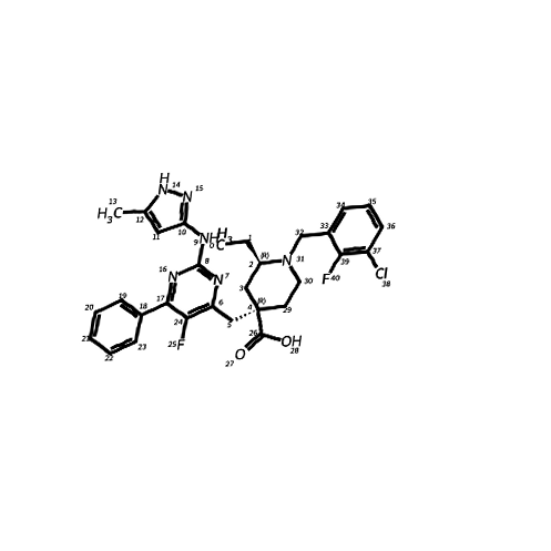 CC[C@@H]1C[C@](Cc2nc(Nc3cc(C)[nH]n3)nc(-c3ccccc3)c2F)(C(=O)O)CCN1Cc1cccc(Cl)c1F